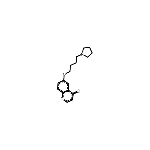 O=c1ccoc2ccc(OCCCCN3CCCC3)cc12